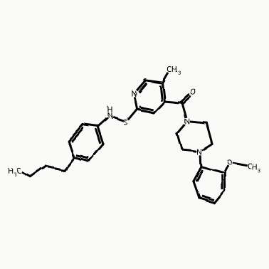 CCCCc1ccc(NSc2cc(C(=O)N3CCN(c4ccccc4OC)CC3)c(C)cn2)cc1